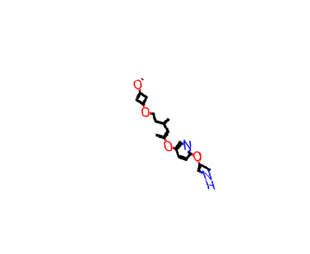 COC1CC(OCCC(C)CC(C)Oc2ccc(OC3CNC3)nc2)C1